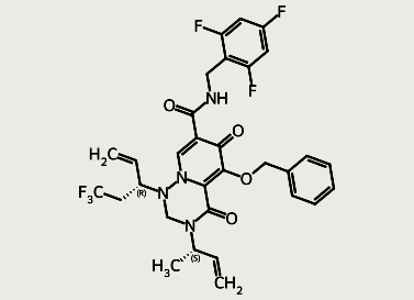 C=C[C@H](C)N1CN([C@@H](C=C)CC(F)(F)F)n2cc(C(=O)NCc3c(F)cc(F)cc3F)c(=O)c(OCc3ccccc3)c2C1=O